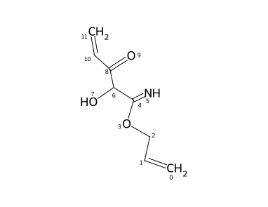 C=CCOC(=N)C(O)C(=O)C=C